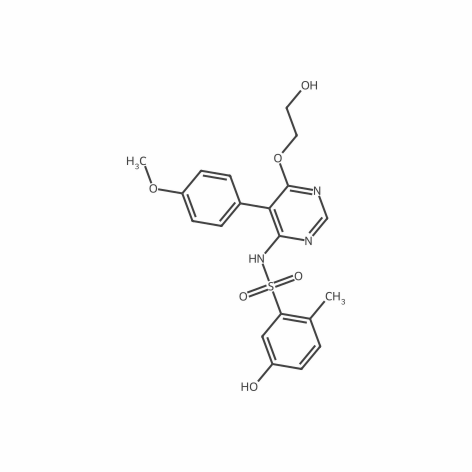 COc1ccc(-c2c(NS(=O)(=O)c3cc(O)ccc3C)ncnc2OCCO)cc1